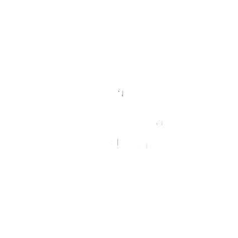 O=C(O)c1cnc2ccccc2c1Cl